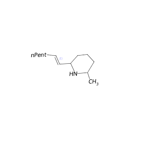 CCCCC/C=C/C1CCCC(C)N1